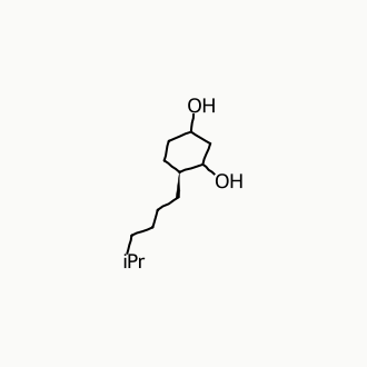 CC(C)CCCC[C@H]1CCC(O)CC1O